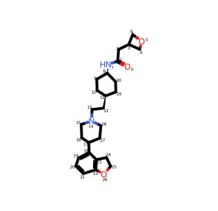 O=C(CC1COC1)N[C@H]1CC[C@H](CCN2CCC(c3cccc4c3CCO4)CC2)CC1